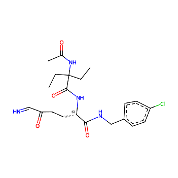 CCC(CC)(NC(C)=O)C(=O)N[C@@H](CCC(=O)C=N)C(=O)NCc1ccc(Cl)cc1